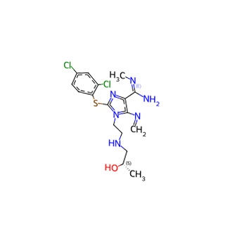 C=Nc1c(/C(N)=N\C)nc(Sc2ccc(Cl)cc2Cl)n1CCNC[C@H](C)O